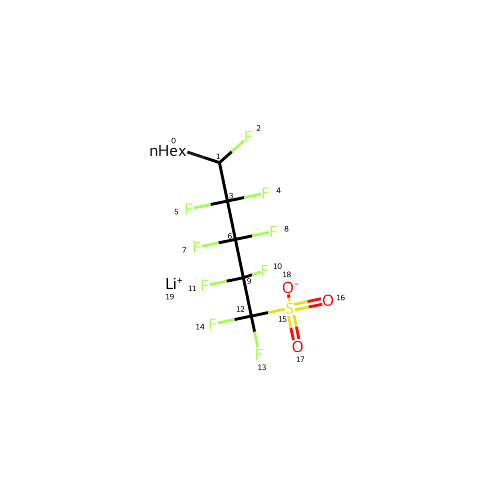 CCCCCCC(F)C(F)(F)C(F)(F)C(F)(F)C(F)(F)S(=O)(=O)[O-].[Li+]